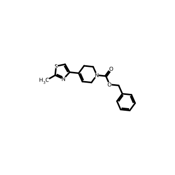 Cc1nc(C2=CCN(C(=O)OCc3ccccc3)CC2)cs1